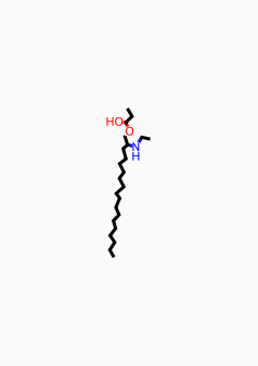 CCCCCCCCCCCCCCCCC(COC(O)CC)NCC